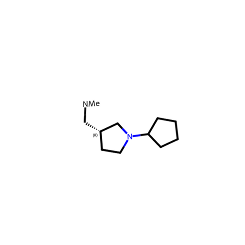 CNC[C@H]1CCN(C2CCCC2)C1